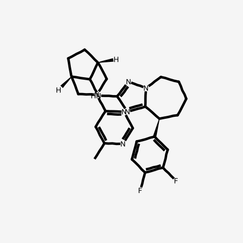 Cc1cc(N2C[C@H]3CC[C@@H](C2)C3Nc2nc3n(n2)CCCC[C@H]3c2ccc(F)c(F)c2)ncn1